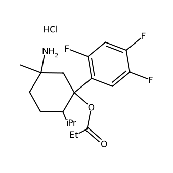 CCC(=O)OC1(c2cc(F)c(F)cc2F)CC(C)(N)CCC1C(C)C.Cl